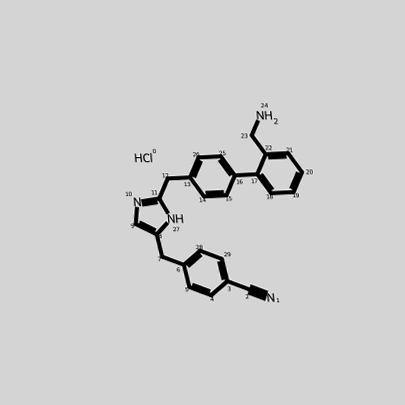 Cl.N#Cc1ccc(Cc2cnc(Cc3ccc(-c4ccccc4CN)cc3)[nH]2)cc1